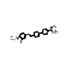 CCCN(CCC)c1ccc(-c2ccc(C=Cc3ccc([N+](=O)[O-])c(F)c3)cc2)cc1